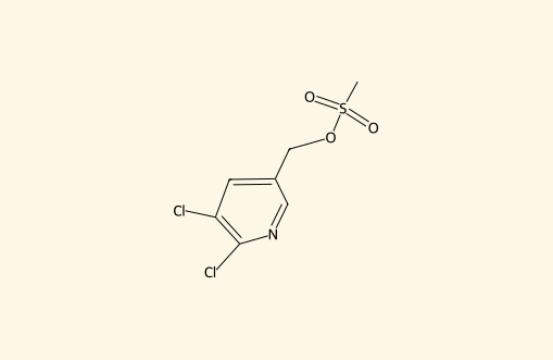 CS(=O)(=O)OCc1cnc(Cl)c(Cl)c1